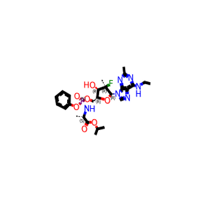 CCNc1nc(C)nc2c1ncn2[C@@H]1O[C@H](CO[P@@](=O)(N[C@@H](C)C(=O)OC(C)C)Oc2ccccc2)[C@@H](O)[C@@]1(C)F